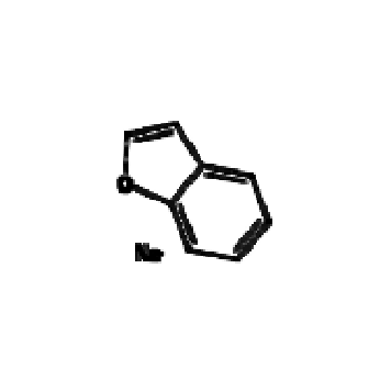 [Na].c1ccc2occc2c1